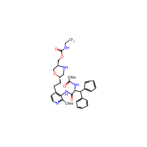 COC(=O)N[C@H](C(=O)Nc1c(CC[C@@H]2CN[C@H](COC(=O)NCC(F)(F)F)CO2)ccnc1OC)C(c1ccccc1)c1ccccc1